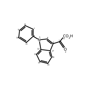 O=C(O)C(=O)c1cn(-c2ccccc2)c2ccccc12